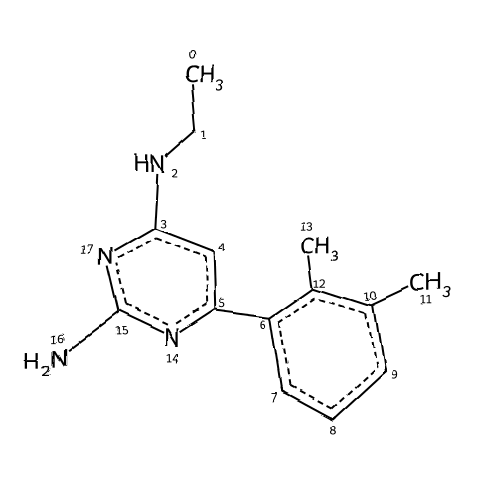 CCNc1cc(-c2cccc(C)c2C)nc(N)n1